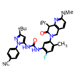 CNc1ccc2c(n1)C(C(C)C)C(=O)N(c1cc(NC(=O)Nc3cc(C(C)(C)C)nn3-c3ccc(C#N)cc3)c(F)cc1C)C2